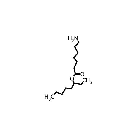 CCCCCC(CC)OC(=O)CCCCCCN